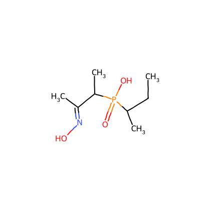 CCC(C)P(=O)(O)C(C)C(C)=NO